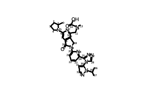 CC1CCCN1c1cc2c(c(CN(C)C(=O)O)n1)CN(c1cccc(-c3nncn3-c3ccnn3C(C)C)n1)C2=O